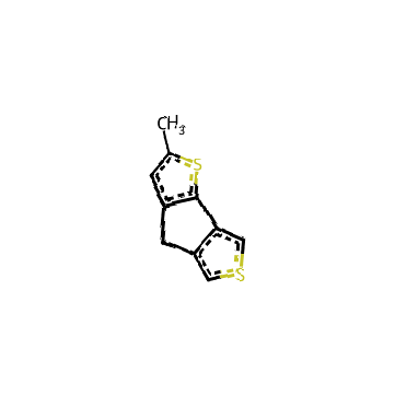 Cc1cc2c(s1)-c1cscc1C2